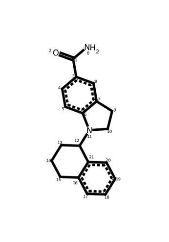 NC(=O)c1ccc2c(c1)CCN2C1CCCc2ccccc21